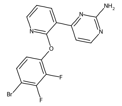 Nc1nccc(-c2cccnc2Oc2ccc(Br)c(F)c2F)n1